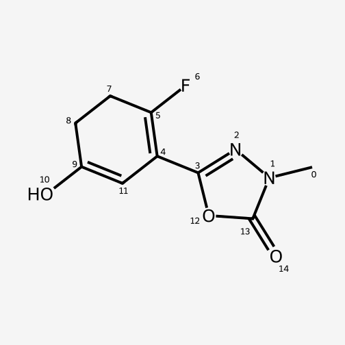 Cn1nc(C2=C(F)CCC(O)=C2)oc1=O